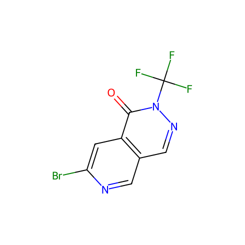 O=c1c2cc(Br)ncc2cnn1C(F)(F)F